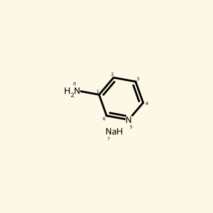 Nc1cccnc1.[NaH]